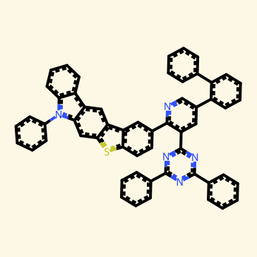 c1ccc(-c2nc(-c3ccccc3)nc(-c3cc(-c4ccccc4-c4ccccc4)cnc3-c3ccc4sc5cc6c(cc5c4c3)c3ccccc3n6-c3ccccc3)n2)cc1